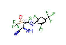 N#CC(=N)/C(=C(/Br)Nc1c(F)cc(C(F)(F)F)cc1Cl)[S+]([O-])C(F)(F)F